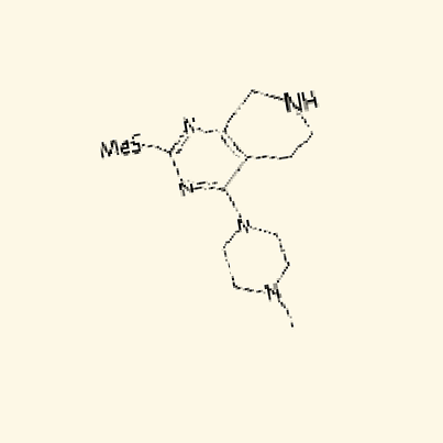 CSc1nc2c(c(N3CCN(C)CC3)n1)CCNC2